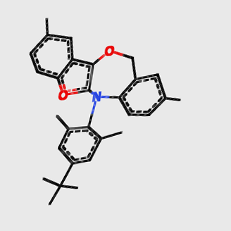 Cc1ccc2c(c1)COc1c(oc3ccc(C)cc13)N2c1c(C)cc(C(C)(C)C)cc1C